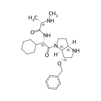 CN[C@@H](C)C(=O)N[C@H](C(=O)N1CC[C@H]2NC[C@H](OCc3ccccc3)[C@H]21)C1CCCCC1